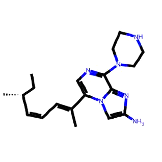 CC[C@@H](C)/C=C\C=C(/C)c1cnc(N2CCNCC2)c2nc(N)cn12